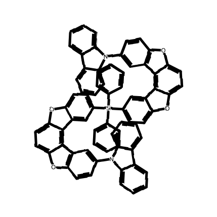 c1ccc([Si](c2ccccc2)(c2ccc3oc4ccc5oc6ccc(-n7c8ccccc8c8ccccc87)cc6c5c4c3c2)c2ccc3oc4ccc5oc6ccc(-n7c8ccccc8c8ccccc87)cc6c5c4c3c2)cc1